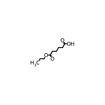 CCCOC(=O)CCCCC(=O)O